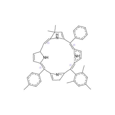 Cc1ccc(/C2=C3\C=CC(/C=C4\NC(=CC4(C)C)/C(c4ccccc4)=c4/cc/c([nH]4)=C(\c4c(C)cc(C)cc4C)C4=NC2=CC4)N3)cc1